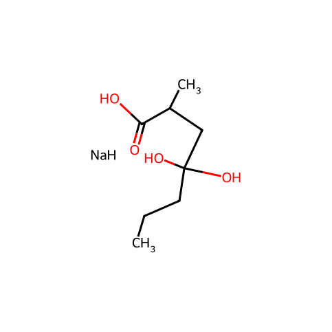 CCCC(O)(O)CC(C)C(=O)O.[NaH]